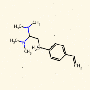 C=Cc1ccc([SiH2]CC(N(C)C)N(C)C)cc1